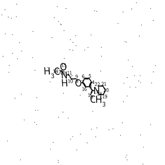 CCC(c1cccc(OCCCNC(C)=O)c1)N1CCCCC1